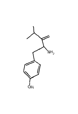 C=C(C(C)C)C(N)Cc1ccc(O)cc1